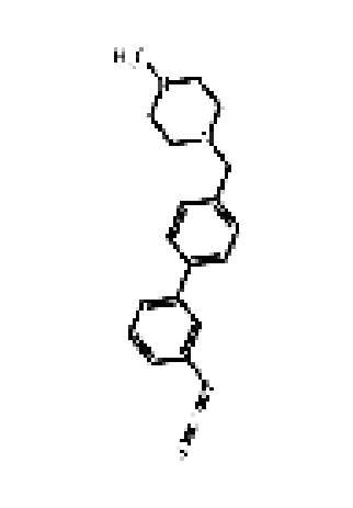 CN1CCN(Cc2ccc(-c3cccc(N=C=S)c3)cc2)CC1